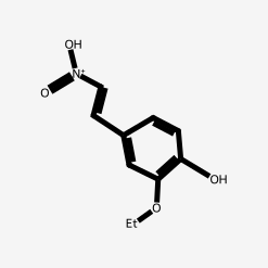 CCOc1cc(/C=C/[N+](=O)O)ccc1O